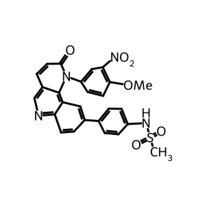 COc1ccc(-n2c(=O)ccc3cnc4ccc(-c5ccc(NS(C)(=O)=O)cc5)cc4c32)cc1[N+](=O)[O-]